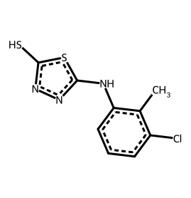 Cc1c(Cl)cccc1Nc1nnc(S)s1